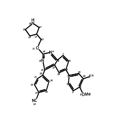 COc1ccc(-c2ccc3nc(OCC4CCNC4)nc(-c4ccc(C#N)cc4)c3c2)cc1F